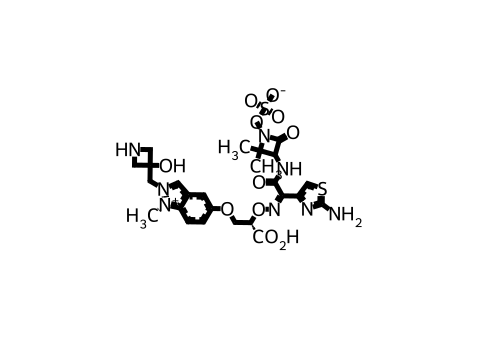 C[n+]1c2ccc(OC[C@H](O/N=C(\C(=O)NC3C(=O)N(OS(=O)(=O)[O-])C3(C)C)c3csc(N)n3)C(=O)O)cc2cn1CC1(O)CNC1